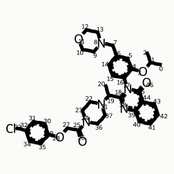 CC(C)Oc1cc(CN2CCOCC2)ccc1-n1c(C(C)N2CCN(C(=O)COc3ccc(Cl)cc3)CC2)nc2ccccc2c1=O